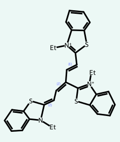 CCN1/C(=C/C=C(/C=C/c2sc3ccccc3[n+]2CC)c2sc3ccccc3[n+]2CC)Sc2ccccc21